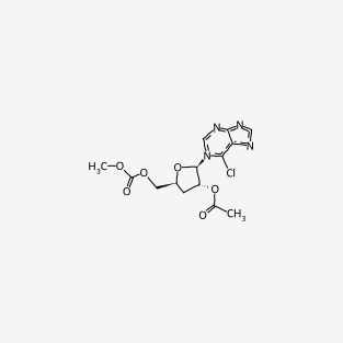 COC(=O)OC[C@@H]1C[C@@H](OC(C)=O)[C@H](n2cnc3ncnc-3c2Cl)O1